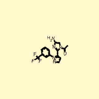 CC(=O)N1CC(N)N=C1c1ccnn1-c1cccc(C(F)(F)F)c1